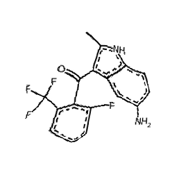 Cc1[nH]c2ccc(N)cc2c1C(=O)c1c(F)cccc1C(F)(F)F